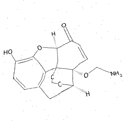 NCO[C@@]12C=CC(=O)[C@@H]3Oc4c(O)ccc5c4C31CCC[C@@H]2C5